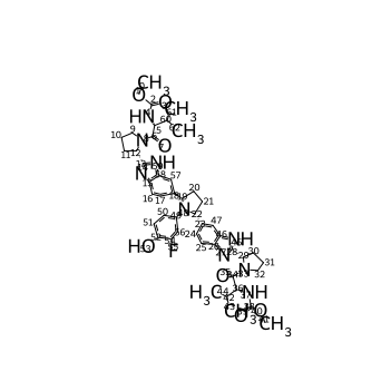 COC(=O)N[C@H](C(=O)N1CCC[C@H]1c1nc2ccc([C@H]3CC[C@H](c4ccc5nc([C@@H]6CCCN6C(=O)[C@@H](NC(=O)OC)C(C)C)[nH]c5c4)N3c3ccc(O)c(F)c3)cc2[nH]1)C(C)C